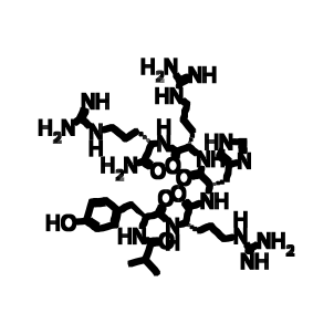 CC(C)C(=O)N[C@@H](Cc1ccc(O)cc1)C(=O)N[C@@H](CCCNC(=N)N)C(=O)N[C@@H](Cc1c[nH]cn1)C(=O)N[C@@H](CCCNC(=N)N)C(=O)N[C@@H](CCCNC(=N)N)C(N)=O